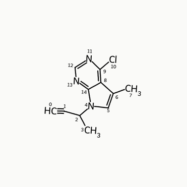 C#CC(C)n1cc(C)c2c(Cl)ncnc21